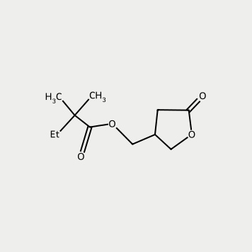 CCC(C)(C)C(=O)OCC1COC(=O)C1